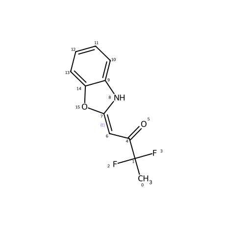 CC(F)(F)C(=O)/C=C1\Nc2ccccc2O1